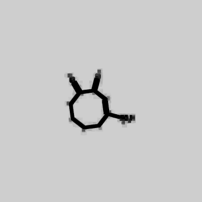 O=C1C=C(S(=O)(=O)O)CCCCC1=O